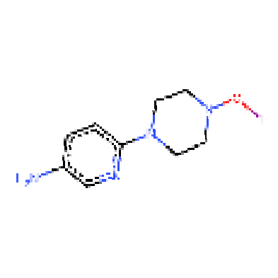 Nc1ccc(N2CCN(OI)CC2)nc1